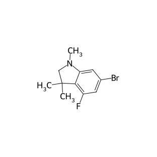 CN1CC(C)(C)c2c(F)cc(Br)cc21